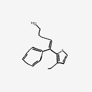 Cc1ccsc1/C(=C/CCO)c1ccccc1